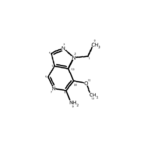 CCn1ncc2cnc(N)c(OC)c21